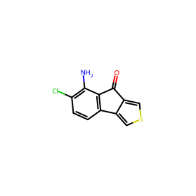 Nc1c(Cl)ccc2c1C(=O)c1cscc1-2